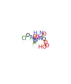 NC(=O)c1cn(CC(=O)N2C[C@H](F)C[C@H]2C(=O)N(F)Cc2cccc(Cl)c2)c2cc(OCC(=O)O)ccc12